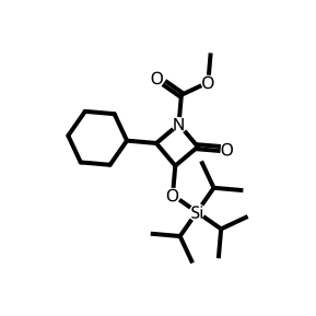 COC(=O)N1C(=O)C(O[Si](C(C)C)(C(C)C)C(C)C)C1C1CCCCC1